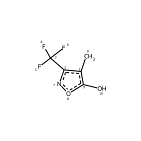 Cc1c(C(F)(F)F)noc1O